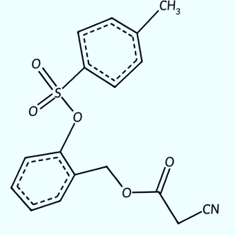 Cc1ccc(S(=O)(=O)Oc2ccccc2COC(=O)CC#N)cc1